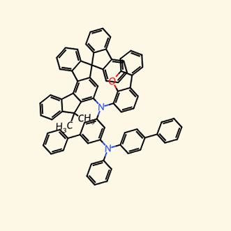 CC1(C)c2ccccc2-c2c3c(cc(N(c4cc(-c5ccccc5)cc(N(c5ccccc5)c5ccc(-c6ccccc6)cc5)c4)c4cccc5c4oc4ccccc45)c21)C1(c2ccccc2-c2ccccc21)c1ccccc1-3